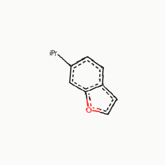 CC(C)c1ccc2ccoc2c1